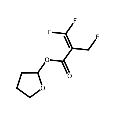 O=C(OC1CCCO1)C(CF)=C(F)F